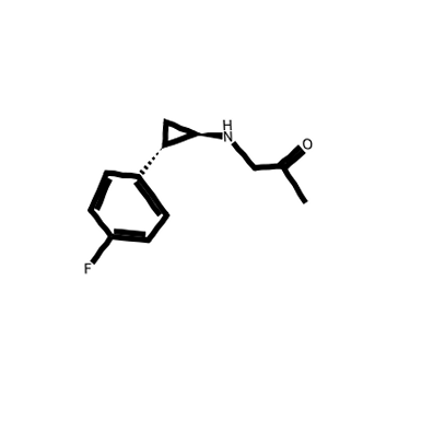 CC(=O)CN[C@@H]1C[C@H]1c1ccc(F)cc1